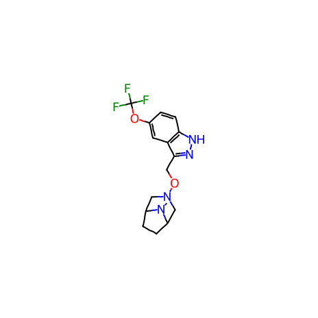 CN1C2CCC1CN(OCc1n[nH]c3ccc(OC(F)(F)F)cc13)C2